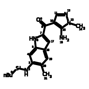 CCCCSNc1cc2[nH]c(C(=O)c3cnn(C)c3N)cc2cc1C